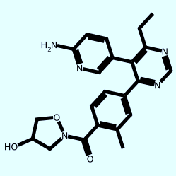 CCc1ncnc(-c2ccc(C(=O)N3CC(O)CO3)c(C)c2)c1-c1ccc(N)nc1